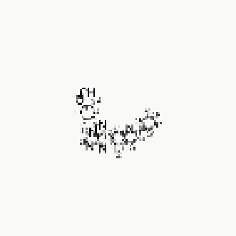 CO[C@H]1CC[C@H](c2nc(-c3ccc4ccc(-c5ccccc5)nc4c3)c3c(N)nccn32)CC1